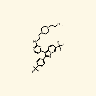 CCCN1CCN(CCNc2nccc(-c3c(-c4ccc(C(F)(F)F)cc4)nn4cc(C(F)(F)F)ccc34)n2)CC1